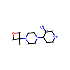 CC1(N2CCN(C3CCNCC3N)CC2)COC1